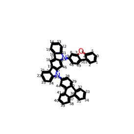 c1ccc2c(c1)oc1cc(-n3c4ccccc4c4cc5c6ccccc6n(-c6ccc7c8ccccc8c8ccccc8c7c6)c5cc43)ccc12